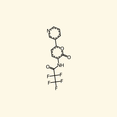 O=C(Nc1ccc(-c2cccnc2)oc1=O)C(F)(F)C(F)(F)F